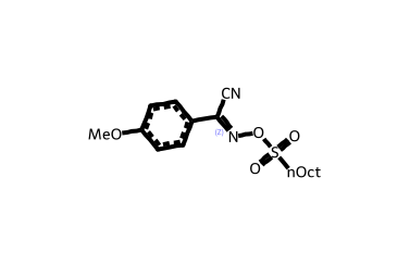 CCCCCCCCS(=O)(=O)O/N=C(\C#N)c1ccc(OC)cc1